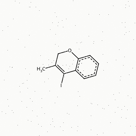 CC1=C(I)c2ccccc2OC1